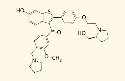 COc1cc(C(=O)c2c(-c3ccc(OCCN4CCC[C@H]4CO)cc3)sc3cc(O)ccc23)ccc1CN1CCCC1